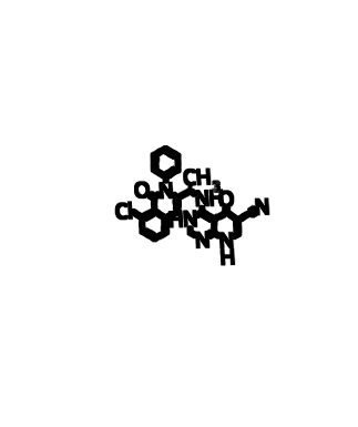 C[C@H](NC1=c2c([nH]cc(C#N)c2=O)=NCN1)c1cc2cccc(Cl)c2c(=O)n1-c1ccccc1